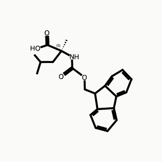 CC(C)C[C@](C)(NC(=O)OCC1c2ccccc2-c2ccccc21)C(=O)O